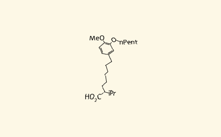 CCCCCOc1cc(CCCCCCC(C(=O)O)C(C)C)ccc1OC